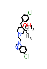 CC1(C)CN(CCn2cnc3cc(Cl)ccc32)CCC1(O)Cc1ccc(Cl)cc1